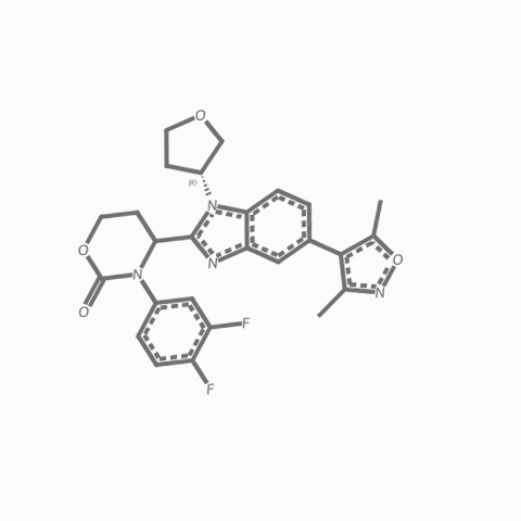 Cc1noc(C)c1-c1ccc2c(c1)nc(C1CCOC(=O)N1c1ccc(F)c(F)c1)n2[C@@H]1CCOC1